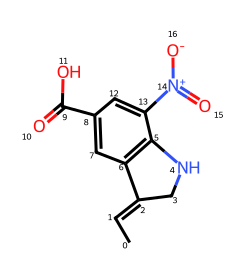 C/C=C1\CNc2c1cc(C(=O)O)cc2[N+](=O)[O-]